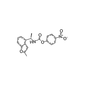 Cc1cc2c([C@@H](C)NC(=O)Oc3ccc([N+](=O)[O-])cc3)cccc2o1